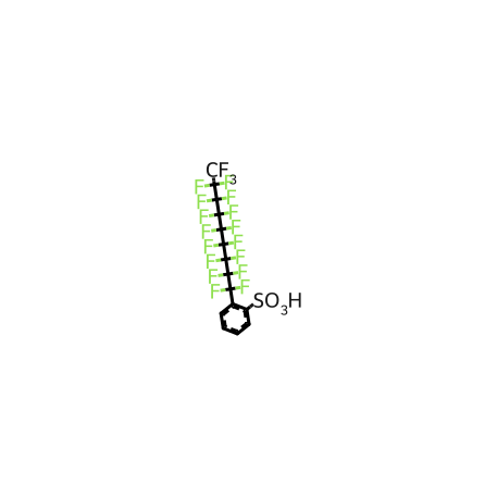 O=S(=O)(O)c1ccccc1C(F)(F)C(F)(F)C(F)(F)C(F)(F)C(F)(F)C(F)(F)C(F)(F)C(F)(F)C(F)(F)F